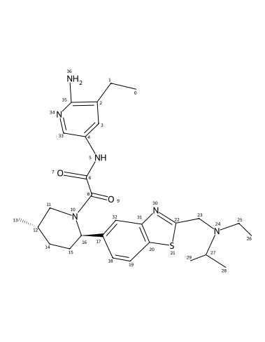 CCc1cc(NC(=O)C(=O)N2C[C@@H](C)CC[C@@H]2c2ccc3sc(CN(CC)C(C)C)nc3c2)cnc1N